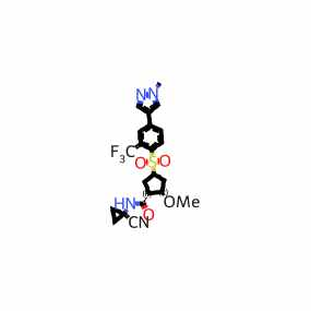 CO[C@@H]1CC(S(=O)(=O)c2ccc(-c3cnn(C)c3)cc2C(F)(F)F)C[C@H]1C(=O)NC1(C#N)CC1